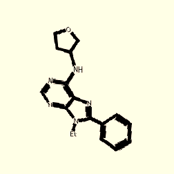 CCn1c(-c2ccccc2)nc2c(NC3CCOC3)ncnc21